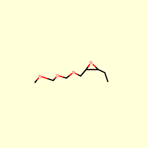 CCC1OC1COCOCOC